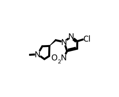 CN1CC[C@H](Cn2nc(Cl)cc2[N+](=O)[O-])C1